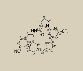 N#Cc1ccc(CCNC(=O)C2CCCN2c2cc(-c3ccc(CN4CCOCC4)s3)nc(C(F)(F)F)n2)cc1